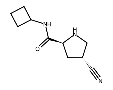 N#C[C@H]1CN[C@H](C(=O)NC2CCC2)C1